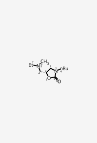 CCCCN1C[C@@H](CN(C)CC)OC1=O